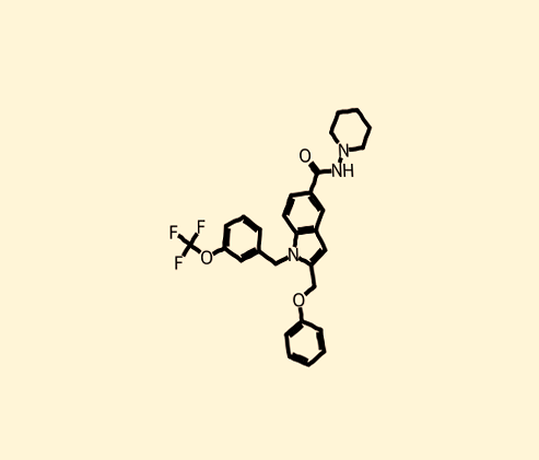 O=C(NN1CCCCC1)c1ccc2c(c1)cc(COc1ccccc1)n2Cc1cccc(OC(F)(F)F)c1